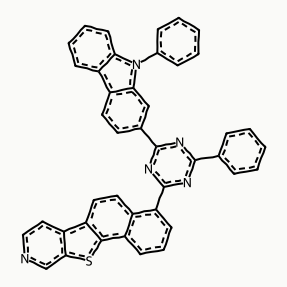 c1ccc(-c2nc(-c3ccc4c5ccccc5n(-c5ccccc5)c4c3)nc(-c3cccc4c3ccc3c5ccncc5sc43)n2)cc1